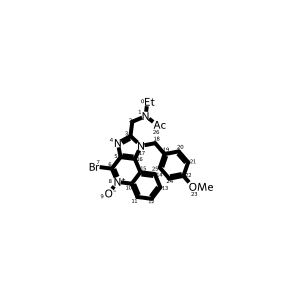 CCN(Cc1nc2c(Br)[n+]([O-])c3ccccc3c2n1Cc1ccc(OC)cc1)C(C)=O